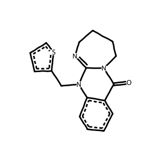 O=C1c2ccccc2N(Cc2cccs2)C2=NCCCCN12